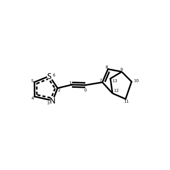 C(#Cc1nccs1)C1=CC2CCC1C2